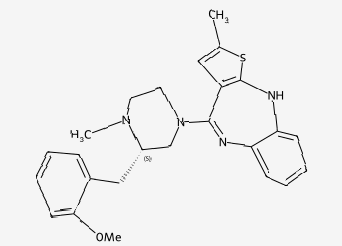 COc1ccccc1C[C@H]1CN(C2=Nc3ccccc3Nc3sc(C)cc32)CCN1C